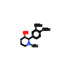 CCCCN1CCCC(O)C1c1ccc(OC)c(OC)c1